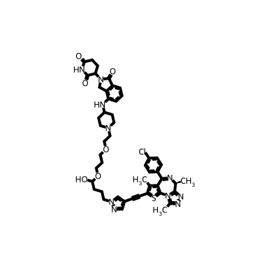 Cc1c(C#Cc2cnn(CCCC(O)OCCCOCCN3CCC(Nc4cccc5c4CN(C4CCC(=O)NC4=O)C5=O)CC3)c2)sc2c1C(c1ccc(Cl)cc1)=N[C@@H](C)c1nnc(C)n1-2